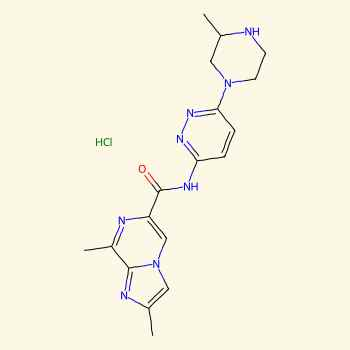 Cc1cn2cc(C(=O)Nc3ccc(N4CCNC(C)C4)nn3)nc(C)c2n1.Cl